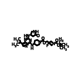 CC(C)c1cnn2c(NC3CCN(C(=O)OCC4(F)CN(C(=O)OC(C)(C)C)C4)CC3)nc(N[C@@H]3CNC(=O)C3)nc12